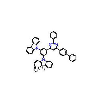 C#C/C=C\c1c(C)c2ccccc2n1-c1cc(-c2cc(-c3ccc(-c4ccccc4)cc3)nc(-c3ccccc3)n2)cc(-n2c3ccccc3c3ccccc32)c1